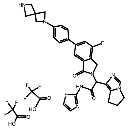 O=C(Nc1nccs1)C(c1ncn2c1CCC2)N1Cc2c(F)cc(-c3ccc(N4CC5(CNC5)C4)cc3)cc2C1=O.O=C(O)C(F)(F)F.O=C(O)C(F)(F)F